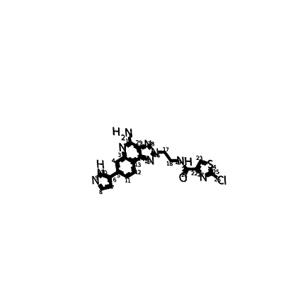 Nc1nc2cc(-c3ccn[nH]3)ccc2c2nn(CCNC(=O)c3csc(Cl)n3)nc12